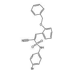 N#C/C(=C/c1ccccc1OCc1ccccc1)S(=O)(=O)Nc1ccc(Br)cc1